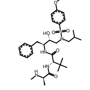 CN[C@H](C)C(=O)N[C@H](C(=O)N[C@@H](Cc1ccccc1)[C@H](O)CN(CC(C)C)S(=O)(=O)c1ccc(OC)cc1)C(C)(C)C